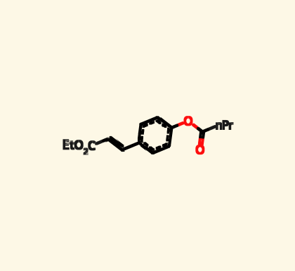 CCCC(=O)Oc1ccc(C=CC(=O)OCC)cc1